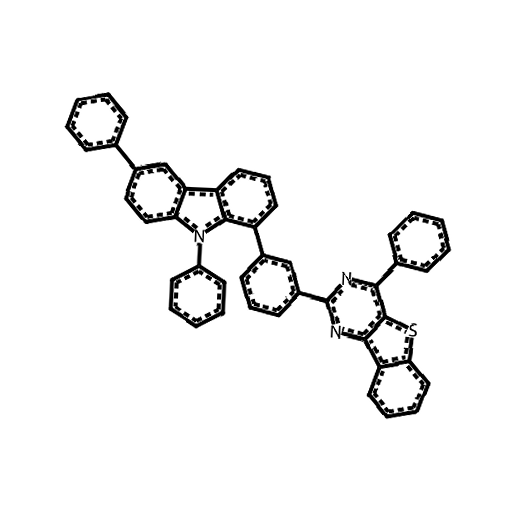 c1ccc(-c2ccc3c(c2)c2cccc(-c4cccc(-c5nc(-c6ccccc6)c6sc7ccccc7c6n5)c4)c2n3-c2ccccc2)cc1